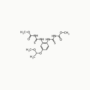 COC(=O)NC(=S)Nc1ccc(OC(C)OC)cc1NC(=S)NC(=O)OC